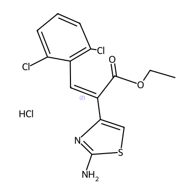 CCOC(=O)/C(=C\c1c(Cl)cccc1Cl)c1csc(N)n1.Cl